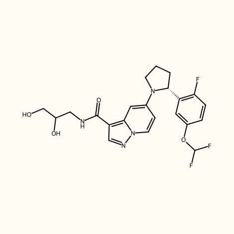 O=C(NCC(O)CO)c1cnn2ccc(N3CCC[C@@H]3c3cc(OC(F)F)ccc3F)cc12